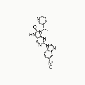 [C-]#[N+]c1ccc2c(c1)ncn2-c1ncc2[nH]c(=O)n(C(C)c3cccnc3)c2n1